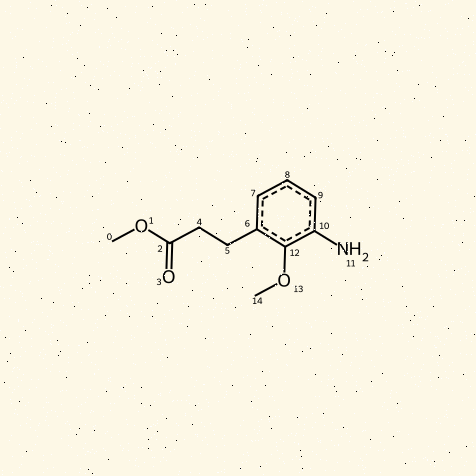 COC(=O)CCc1cccc(N)c1OC